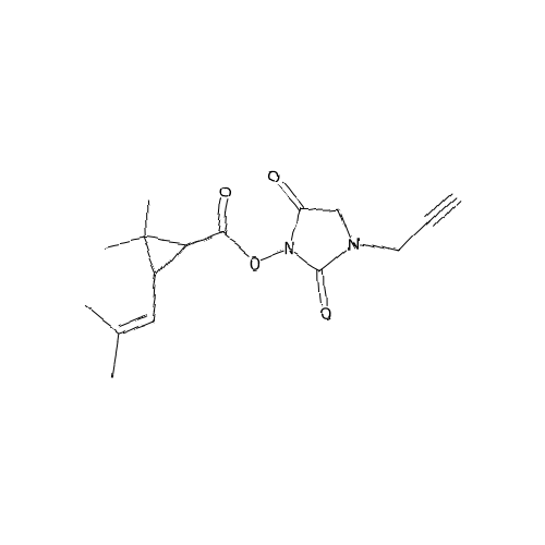 C#CCN1CC(=O)N(OC(=O)C2C(C=C(C)C)C2(C)C)C1=O